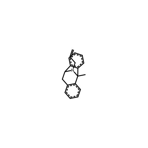 C=CCN1C2Cc3ccccc3C1(C)c1ccccc12